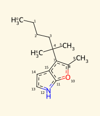 CCCCC(C)(C)c1c(C)oc2[nH]ccc12